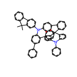 CC1(C)c2ccccc2-c2ccc(N(c3ccc4c(c3)C3(c5ccccc5-4)c4ccccc4N(c4ccccc4)c4ccccc43)c3ccc(-c4ccccc4)cc3-c3ccccc3)cc21